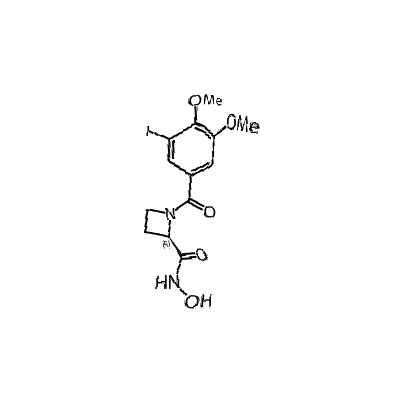 COc1cc(C(=O)N2CC[C@@H]2C(=O)NO)cc(I)c1OC